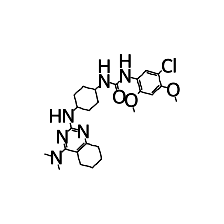 COc1cc(OC)c(NC(=O)NC2CCC(Nc3nc4c(c(N(C)C)n3)CCCC4)CC2)cc1Cl